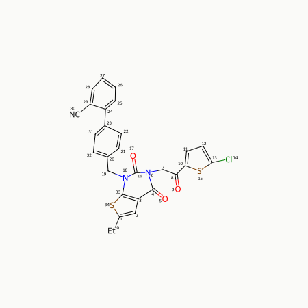 CCc1cc2c(=O)n(CC(=O)c3ccc(Cl)s3)c(=O)n(Cc3ccc(-c4ccccc4C#N)cc3)c2s1